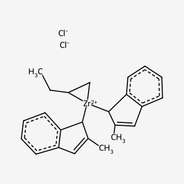 CC[CH]1[CH2][Zr+2]1([CH]1C(C)=Cc2ccccc21)[CH]1C(C)=Cc2ccccc21.[Cl-].[Cl-]